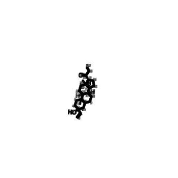 C=CC1(O)CC[C@@]2(C)C(CC[C@H]3[C@@H]4CC[C@H](C(=O)CI)[C@@]4(C)CC[C@@H]32)C1